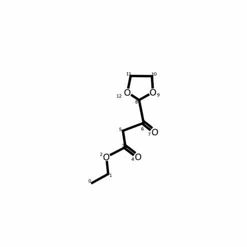 CCOC(=O)CC(=O)C1OCCO1